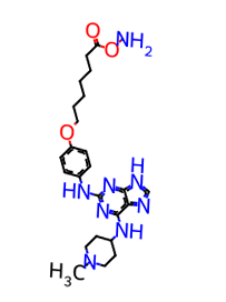 CN1CCC(Nc2nc(Nc3ccc(OCCCCCCC(=O)ON)cc3)nc3[nH]cnc23)CC1